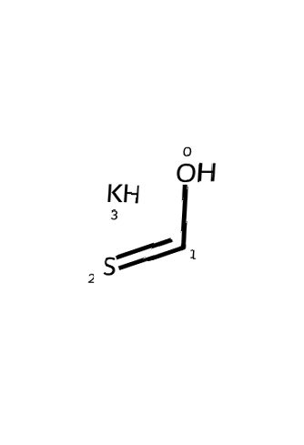 OC=S.[KH]